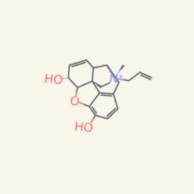 C=CC[N@+]1(C)CC[C@@]23c4c5ccc(O)c4OC2[C@H](O)C=CC3C1C5